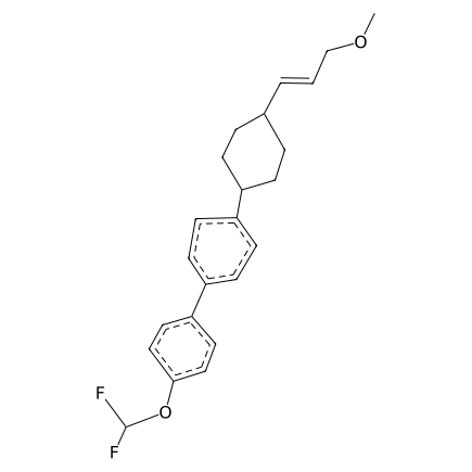 COC/C=C/C1CCC(c2ccc(-c3ccc(OC(F)F)cc3)cc2)CC1